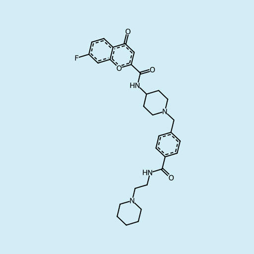 O=C(NCCN1CCCCC1)c1ccc(CN2CCC(NC(=O)c3cc(=O)c4ccc(F)cc4o3)CC2)cc1